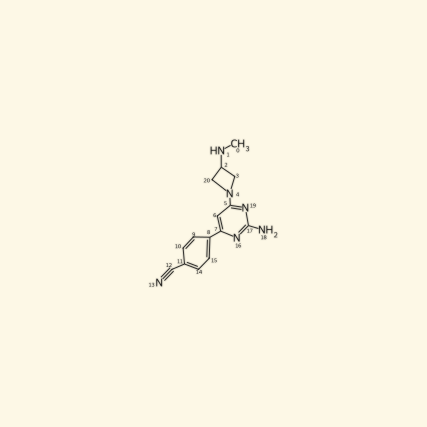 CNC1CN(c2cc(-c3ccc(C#N)cc3)nc(N)n2)C1